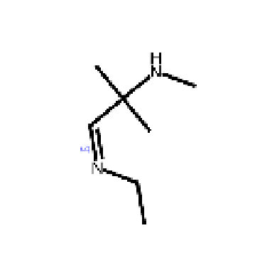 CC/N=C\C(C)(C)NC